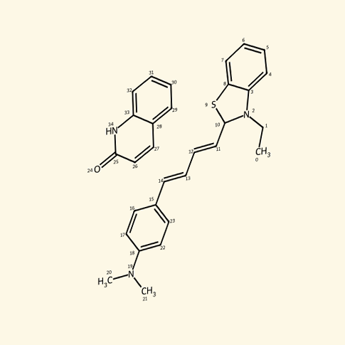 CCN1c2ccccc2SC1C=CC=Cc1ccc(N(C)C)cc1.O=c1ccc2ccccc2[nH]1